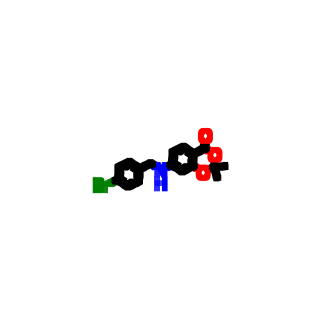 CC1(C)OC(=O)c2ccc(NCc3ccc(Br)cc3)cc2O1